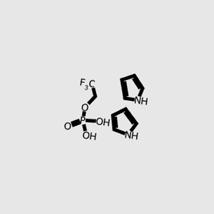 O=P(O)(O)OCC(F)(F)F.c1cc[nH]c1.c1cc[nH]c1